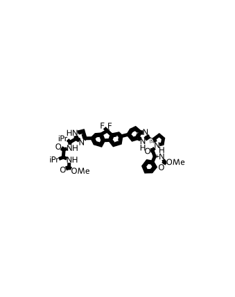 COC(=O)NC(C(=O)NC(c1nc(-c2ccc3c(c2)C(F)(F)c2cc(-c4ccc5nc([C@@H]6CCCN6C(=O)[C@H](NC(=O)OC)c6ccccc6)[nH]c5c4)ccc2-3)c[nH]1)C(C)C)C(C)C